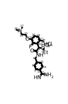 CCOC(C(=O)NCc1ccc(C(=N)N)cc1)c1c(F)ccc(OCCN(C)C)c1F.Cl.Cl